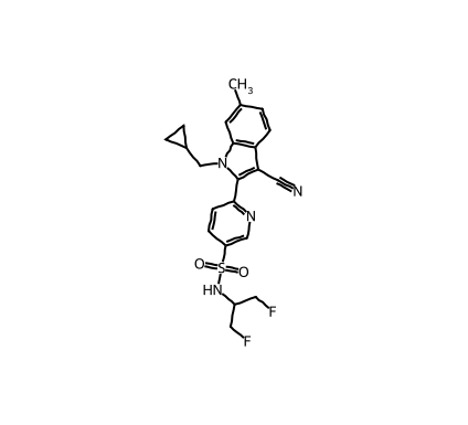 Cc1ccc2c(C#N)c(-c3ccc(S(=O)(=O)NC(CF)CF)cn3)n(CC3CC3)c2c1